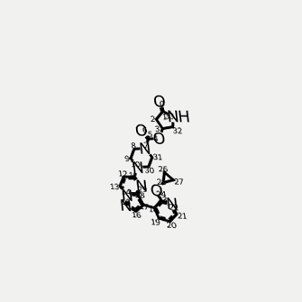 O=C1CC(OC(=O)N2CCN(c3ccn4ncc(-c5cccnc5OC5CC5)c4n3)CC2)CN1